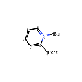 CCCCCc1cccc[n+]1C(C)(C)C